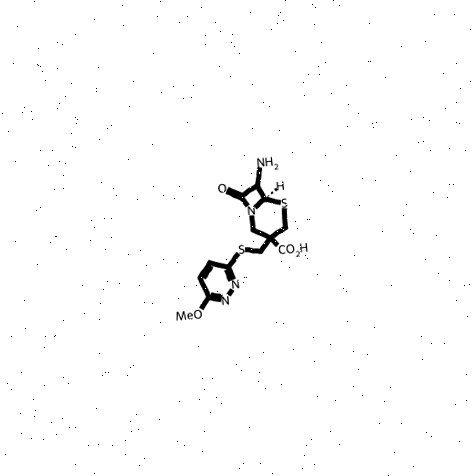 COc1ccc(SCC2(C(=O)O)CS[C@@H]3C(N)C(=O)N3C2)nn1